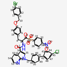 O=C(N[C@@H](Cc1ccc(OCc2ccc(Br)cc2)cc1)C(=O)S(=O)(=O)c1ccc([N+](=O)[O-])cc1)c1cn(Cc2ccc(-c3ccc(Cl)cc3)cc2)c2ncccc12